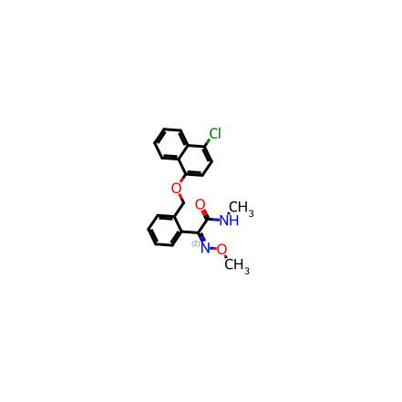 CNC(=O)/C(=N\OC)c1ccccc1COc1ccc(Cl)c2ccccc12